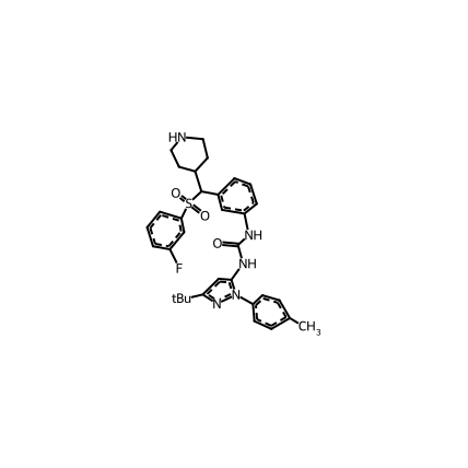 Cc1ccc(-n2nc(C(C)(C)C)cc2NC(=O)Nc2cccc(C(C3CCNCC3)S(=O)(=O)c3cccc(F)c3)c2)cc1